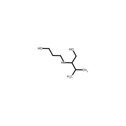 CC(C)C(CO)NCCCO